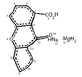 O=C(O)c1cccc2oc3ccccc3c(=O)c12.[MgH2].[NaH]